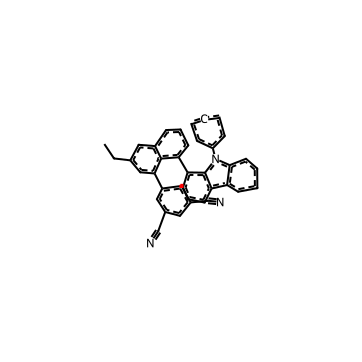 CCc1cc(-c2cc(C#N)cc(C#N)c2)c2c(-c3cccc4c5ccccc5n(-c5ccccc5)c34)cccc2c1